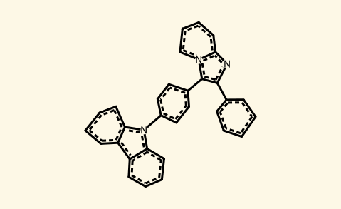 c1ccc(-c2nc3ccccn3c2-c2ccc(-n3c4ccccc4c4ccccc43)cc2)cc1